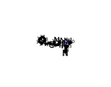 C=C/N=C(/Nc1ccc(OCCN2CCCCC2)cn1)N(C)C(C)C#N